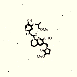 COCC(C)Oc1cc(NC(=O)N2CCCc3cc(CN4CCC(OC)C4=O)c(C=O)nc32)ncc1C#N